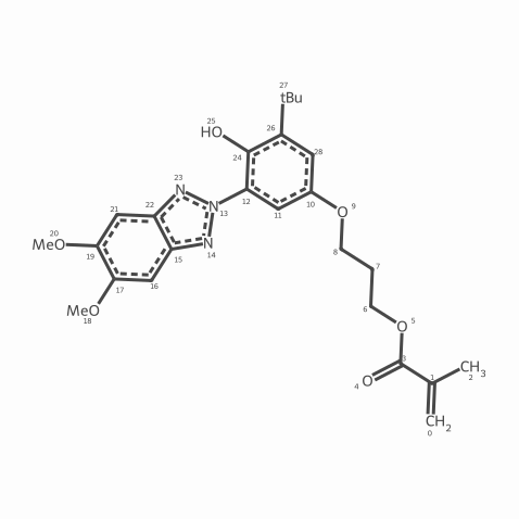 C=C(C)C(=O)OCCCOc1cc(-n2nc3cc(OC)c(OC)cc3n2)c(O)c(C(C)(C)C)c1